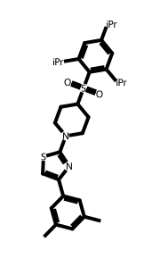 Cc1cc(C)cc(-c2csc(N3CCC(S(=O)(=O)c4c(C(C)C)cc(C(C)C)cc4C(C)C)CC3)n2)c1